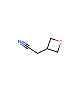 N#CCC1COC1